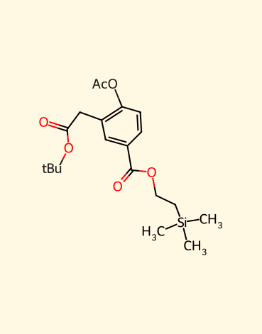 CC(=O)Oc1ccc(C(=O)OCC[Si](C)(C)C)cc1CC(=O)OC(C)(C)C